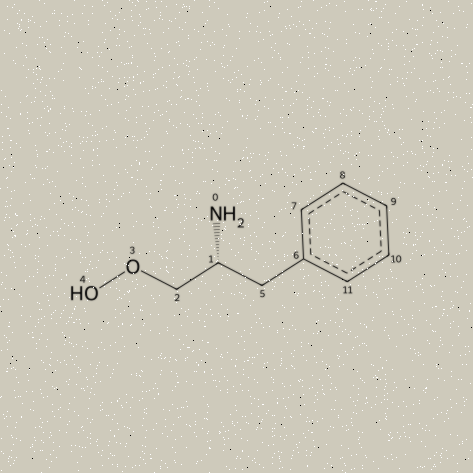 N[C@@H](COO)Cc1ccccc1